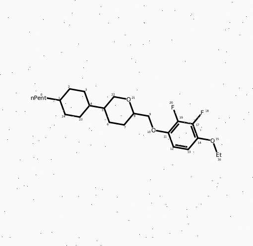 CCCCCC1CCC(C2CCC(COc3ccc(OCC)c(F)c3F)OC2)CC1